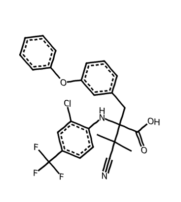 CC(C)(C#N)C(Cc1cccc(Oc2ccccc2)c1)(Nc1ccc(C(F)(F)F)cc1Cl)C(=O)O